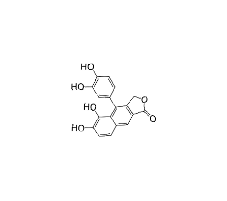 O=C1OCc2c1cc1ccc(O)c(O)c1c2-c1ccc(O)c(O)c1